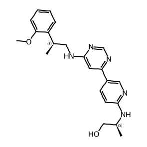 COc1ccccc1[C@H](C)CNc1cc(-c2ccc(N[C@@H](C)CO)nc2)ncn1